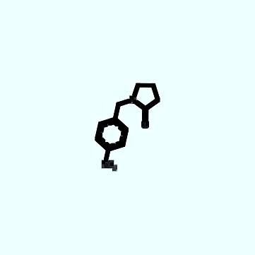 Nc1ccc(CN2CCCC2=O)cc1